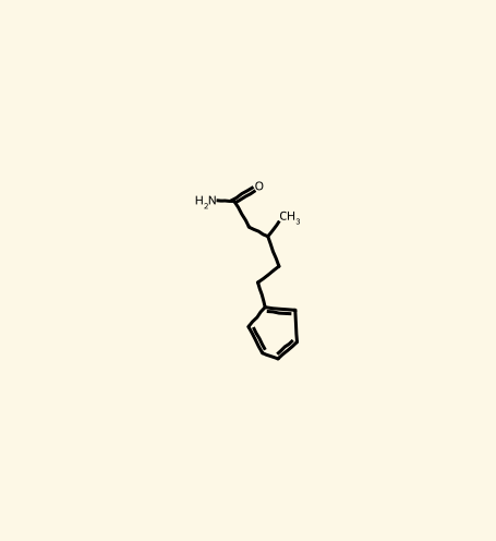 CC(CCc1ccccc1)CC(N)=O